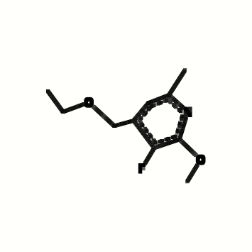 CCOCc1cc(C)nc(OC)c1F